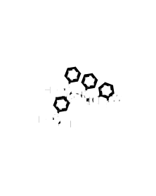 CP(C)c1ccccc1.CP(C)c1ccccc1.CP(C)c1ccccc1.N#Cc1ccccc1Cl.[W]